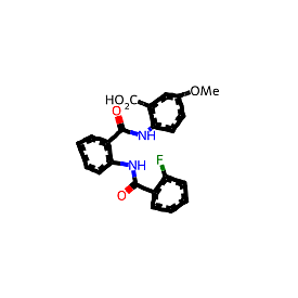 COc1ccc(NC(=O)c2ccccc2NC(=O)c2ccccc2F)c(C(=O)O)c1